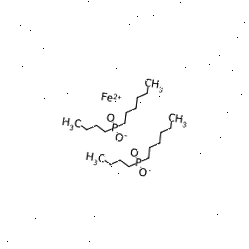 CCCCCCP(=O)([O-])CCCC.CCCCCCP(=O)([O-])CCCC.[Fe+2]